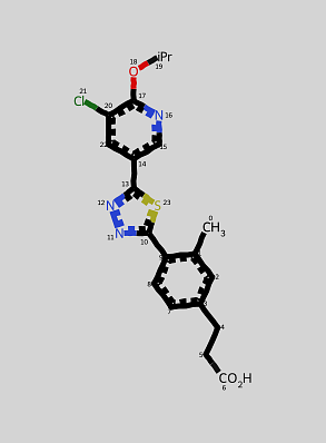 Cc1cc(CCC(=O)O)ccc1-c1nnc(-c2cnc(OC(C)C)c(Cl)c2)s1